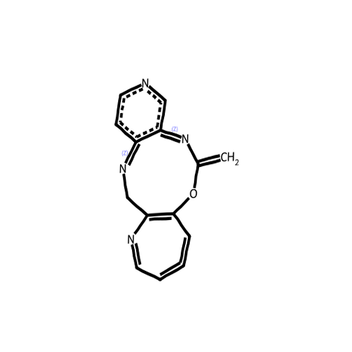 C=C1/N=c2/cncc/c2=N/CC2=C(C=C=CC=N2)O1